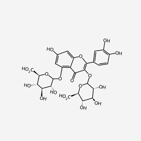 O=C(O)[C@H]1OC(Oc2c(-c3ccc(O)c(O)c3)oc3cc(O)cc(OC4O[C@H](C(=O)O)[C@@H](O)[C@H](O)[C@H]4O)c3c2=O)[C@H](O)[C@@H](O)[C@@H]1O